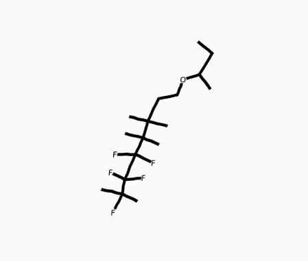 CCC(C)OCCC(C)(C)C(C)(C)C(F)(F)C(F)(F)C(C)(C)F